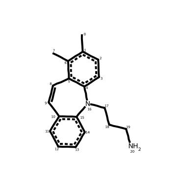 Cc1ccc2c(c1C)C=Cc1ccccc1N2CCCN